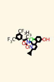 C[C@H]1[C@@H](c2cc(C(F)(F)F)cc(C(F)(F)F)c2)OC(=O)N1Cc1nc(C2CC2)ccc1-c1cc(O)ccc1Cl